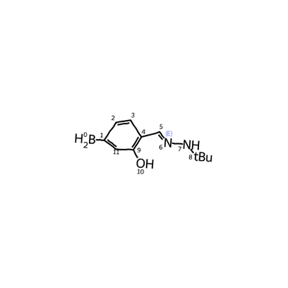 Bc1ccc(/C=N/NC(C)(C)C)c(O)c1